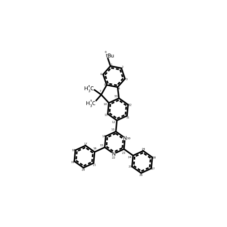 CC(C)(C)c1ccc2c(c1)C(C)(C)c1cc(-c3cc(-c4ccccc4)nc(-c4ccccc4)n3)ccc1-2